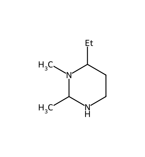 CCC1CCNC(C)N1C